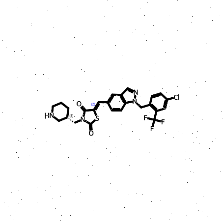 O=C1S/C(=C\c2ccc3c(cnn3Cc3ccc(Cl)cc3C(F)(F)F)c2)C(=O)N1C[C@H]1CCCNC1